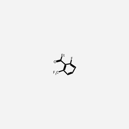 CCC(=O)c1c(F)cccc1C(F)(F)F